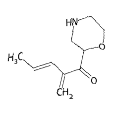 C=C(C=CC)C(=O)C1CNCCO1